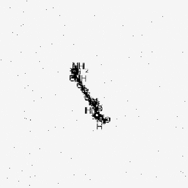 CC(=O)c1cc2cc(NC(=O)c3cn(CCOCCOCCOCCNC(=O)c4ccc(N)cc4)nn3)ccc2[nH]1